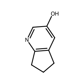 Oc1cnc2c(c1)CCC2